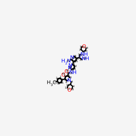 Cc1ccc(-c2cn(CC3CCOCC3)cc(C(=O)Nc3ccc(-c4cc(/C(C=N)=C/NC5CCOCC5)cnc4N)nn3)c2=O)cc1